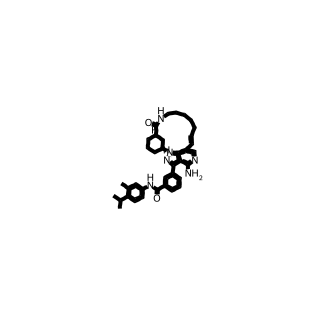 Cc1cc(NC(=O)c2cccc(-c3nn4c5c(cnc(N)c35)/C=C/CCCCCNC(=O)[C@@H]3CCC[C@@H]4C3)c2)ccc1C(C)C